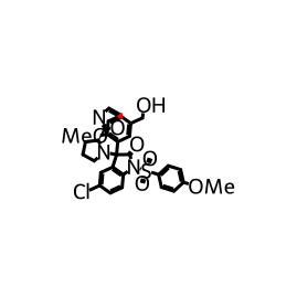 COc1ccc(S(=O)(=O)N2C(=O)C(c3cc(CO)ccc3OC)(N3CCC[C@H]3c3ncco3)c3cc(Cl)ccc32)cc1